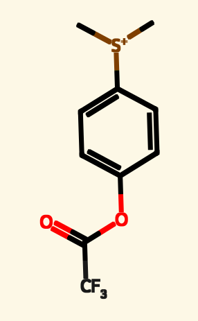 C[S+](C)c1ccc(OC(=O)C(F)(F)F)cc1